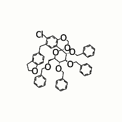 Clc1cc2c(cc1Cc1ccc3c(c1)CCO3)[C@]1(OCO2)O[C@H](COCc2ccccc2)[C@@H](OCc2ccccc2)[C@H](OCc2ccccc2)[C@H]1OCc1ccccc1